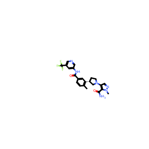 Cc1ccc(C(=O)Nc2cncc(C(F)(F)F)c2)cc1[C@@H]1CCN(c2cnn(C)c2C(N)=O)C1